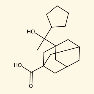 CC(O)(C1CCCC1)C12CC3CC(CC(C(=O)O)(C3)C1)C2